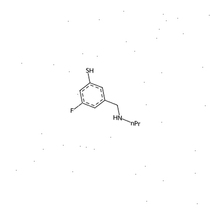 CCCNCc1cc(F)cc(S)c1